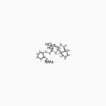 CNCc1ccccc1CCC(O)CC1=c2ccccc2=CCC1=S.Cl